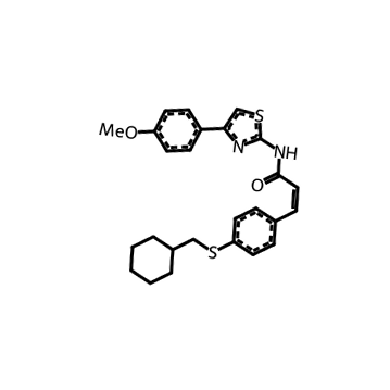 COc1ccc(-c2csc(NC(=O)/C=C\c3ccc(SCC4CCCCC4)cc3)n2)cc1